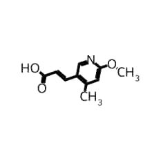 COc1cc(C)c(/C=C/C(=O)O)cn1